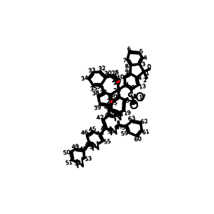 CC1(C)c2ccccc2-c2cc3c(cc21)S(=O)(=O)c1ccccc1C31c2ccccc2-c2ccccc2-c2ccc(-c3cc(-c4ccc(-c5cccnc5)nc4)nc(-c4ccccc4)n3)cc21